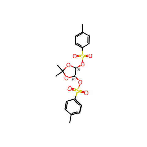 Cc1ccc(S(=O)(=O)O[C@H]2OC(C)(C)O[C@H]2OS(=O)(=O)c2ccc(C)cc2)cc1